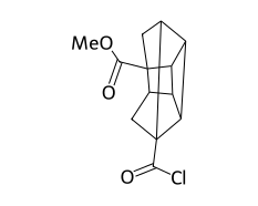 COC(=O)C12CC3C4C5C(C1CC35C(=O)Cl)C42